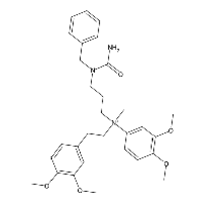 COc1ccc(CC[N+](C)(CCCN(Cc2ccccc2)C(N)=O)c2ccc(OC)c(OC)c2)cc1OC